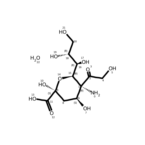 N[C@]1(C(=O)CO)[C@@H](O)C[C@@](O)(C(=O)O)O[C@H]1[C@H](O)[C@H](O)CO.O